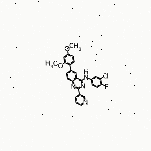 COc1ccc(-c2ccc3nc(-c4cccnc4)nc(Nc4ccc(F)c(Cl)c4)c3c2)c(OC)c1